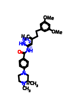 C=C(/C=C(\NN)NC(=O)c1ccc(N2CCN(C)[C@H](C)C2)cc1)CCc1cc(OC)cc(OC)c1